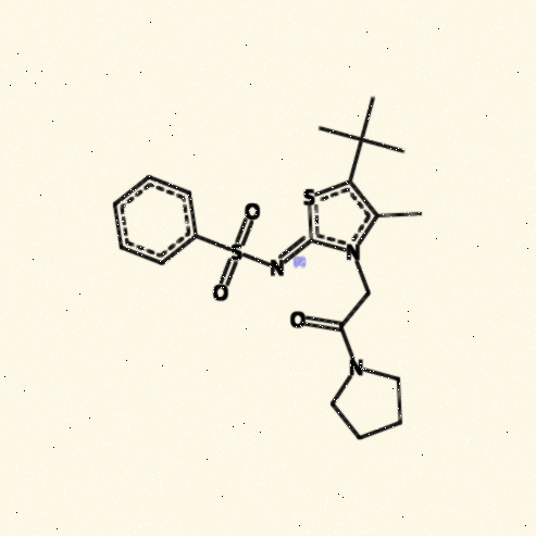 Cc1c(C(C)(C)C)s/c(=N\S(=O)(=O)c2ccccc2)n1CC(=O)N1CCCC1